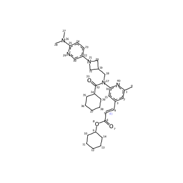 Cc1cc(/C=C/C(=O)OC2CCCCC2)cc(N(CC2CN(c3ccc(N(C)C)nc3)C2)C(=O)C2CCCCC2)n1